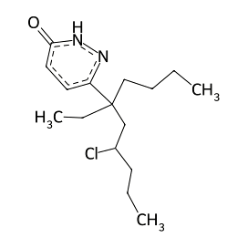 CCCCC(CC)(CC(Cl)CCC)c1ccc(=O)[nH]n1